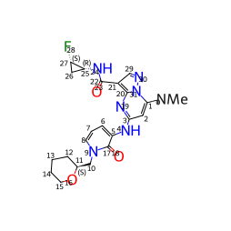 CNc1cc(Nc2cccn(C[C@@H]3CCCCO3)c2=O)nc2c(C(=O)N[C@@H]3C[C@@H]3F)cnn12